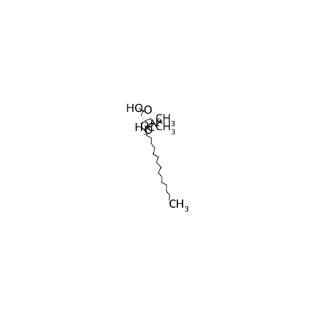 CCCCCCCCCCCCCCCCOO[C@H](CC(=O)O)C[N+](C)(C)C